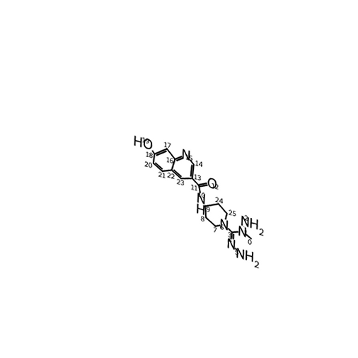 CN(N)/C(=N\N)N1CCC(NC(=O)c2cnc3cc(O)ccc3c2)CC1